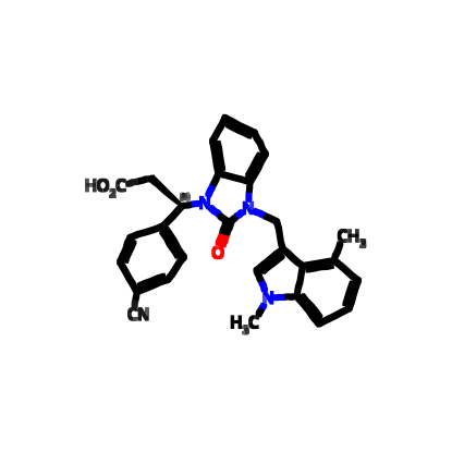 Cc1cccc2c1c(Cn1c(=O)n([C@H](CC(=O)O)c3ccc(C#N)cc3)c3ccccc31)cn2C